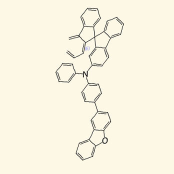 C=C/C=C1\C(=C)c2ccccc2C12c1ccccc1-c1ccc(N(c3ccccc3)c3ccc(-c4ccc5oc6ccccc6c5c4)cc3)cc12